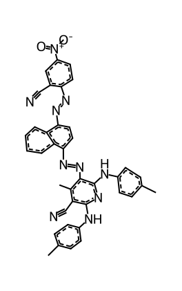 Cc1ccc(Nc2nc(Nc3ccc(C)cc3)c(N=Nc3ccc(N=Nc4ccc([N+](=O)[O-])cc4C#N)c4ccccc34)c(C)c2C#N)cc1